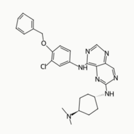 CN(C)[C@H]1CC[C@H](Nc2ncc3ncnc(Nc4ccc(OCc5ccccc5)c(Cl)c4)c3n2)CC1